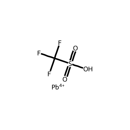 O=S(=O)(O)C(F)(F)F.[Pb+4]